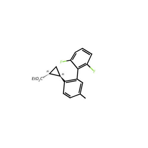 CCOC(=O)[C@@H]1C[C@H]1c1ccc(C)cc1-c1c(F)cccc1F